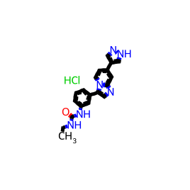 CCNC(=O)Nc1cccc(-c2cnc3cc(-c4cn[nH]c4)ccn23)c1.Cl